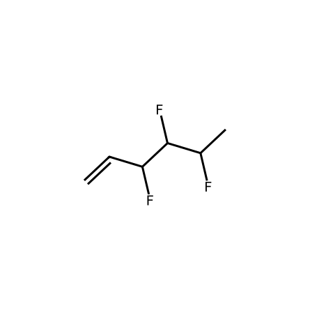 C=CC(F)C(F)C(C)F